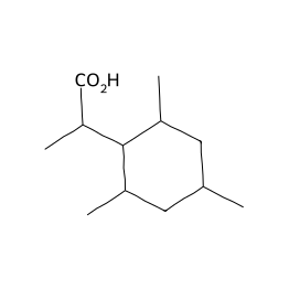 CC1CC(C)C(C(C)C(=O)O)C(C)C1